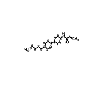 C=CC(=O)NC1CCC(C2CCC(CCCCC)CO2)CC1